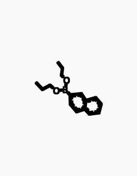 CCCOB(OCCC)c1ccc2ccccc2c1